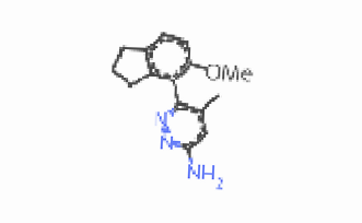 COc1ccc2c(c1-c1nnc(N)cc1C)CCC2